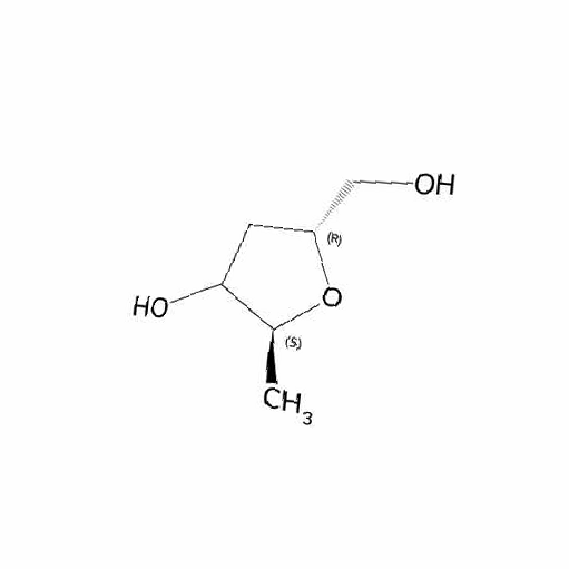 C[C@@H]1O[C@@H](CO)CC1O